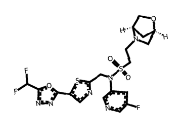 O=S(=O)(CCN1C[C@H]2C[C@@H]1CO2)N(Cc1ncc(-c2nnc(C(F)F)o2)s1)c1cncc(F)c1